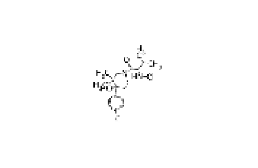 CC(C)C(NCl)C(=O)N1CC[C@](O)(c2ccc(Cl)cc2)C(C)(C)C1